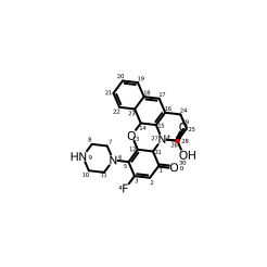 O=C1C=C(F)C(N2CCNCC2)=C2OC3C4=C(C=C5C=CC=CC53)CC=C[N+]4(C(=O)O)C12